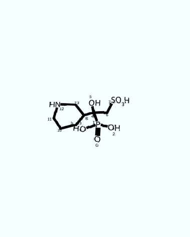 O=P(O)(O)C(O)(CS(=O)(=O)O)C1CCCNC1